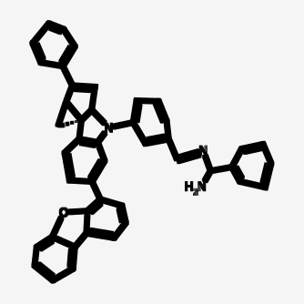 NC(/N=C/c1cccc(N2c3cc(-c4cccc5c4oc4ccccc45)ccc3[C@@]34CC3C(c3ccccc3)=CC24)c1)c1ccccc1